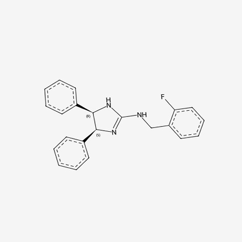 Fc1ccccc1CNC1=N[C@@H](c2ccccc2)[C@@H](c2ccccc2)N1